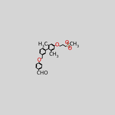 Cc1cc(OCCCS(C)(=O)=O)cc(C)c1-c1cccc(COc2ccc(C=O)cc2)c1